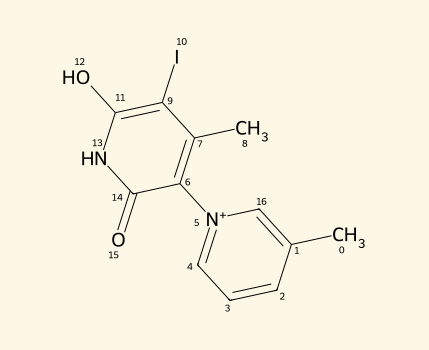 Cc1ccc[n+](-c2c(C)c(I)c(O)[nH]c2=O)c1